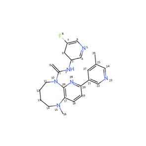 C=C(NC1C=NC=C(F)C1)N1CCCCN(C)c2ccc(-c3cncc(C)c3)nc21